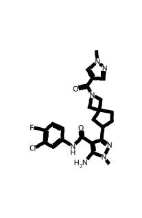 Cn1cc(C(=O)N2CC3(CCC(c4nn(C)c(N)c4C(=O)Nc4ccc(F)c(Cl)c4)C3)C2)cn1